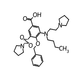 CCCCN(CCN1CCCC1)c1cc(C(=O)O)cc(S(=O)(=O)N2CCCC2)c1OCc1ccccc1